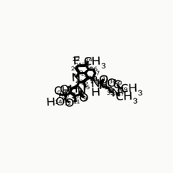 CC[C@]1(O)c2cc3n(c(=O)c2COC1O)CC1=C2C4C(=CC(F)=C(C)C4CC[C@@H]2NC(=O)CC(=O)CN(C)C(C)C)N=C13